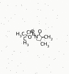 C=C1C(=O)N(C(=O)OC(C)(C)C)C[C@H]1C